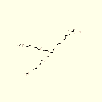 CN(OCCOCCOCCN(CCOCCOCCN=[N+]=[N-])CCOCCOCCN=[N+]=[N-])C(=O)OC(C)(C)C